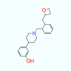 Oc1cccc(C2CCN(CC3C=CC=CC3CC3CCO3)CC2)c1